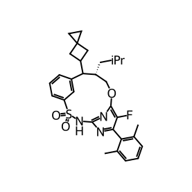 Cc1cccc(C)c1-c1nc2nc(c1F)OC[C@@H](CC(C)C)C(C1CC3(CC3)C1)c1cccc(c1)S(=O)(=O)N2